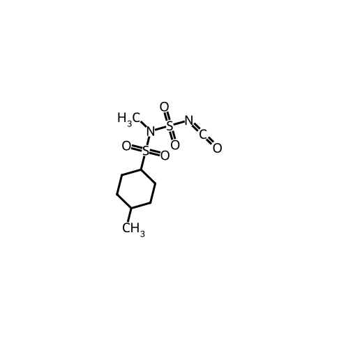 CC1CCC(S(=O)(=O)N(C)S(=O)(=O)N=C=O)CC1